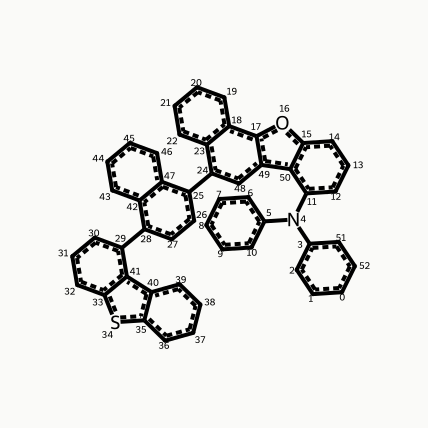 c1ccc(N(c2ccccc2)c2cccc3oc4c5ccccc5c(-c5ccc(-c6cccc7sc8ccccc8c67)c6ccccc56)cc4c23)cc1